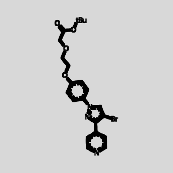 CC(C)(C)OC(=O)COCCOc1ccc(-n2cc(Br)c(-c3ccncc3)n2)cc1